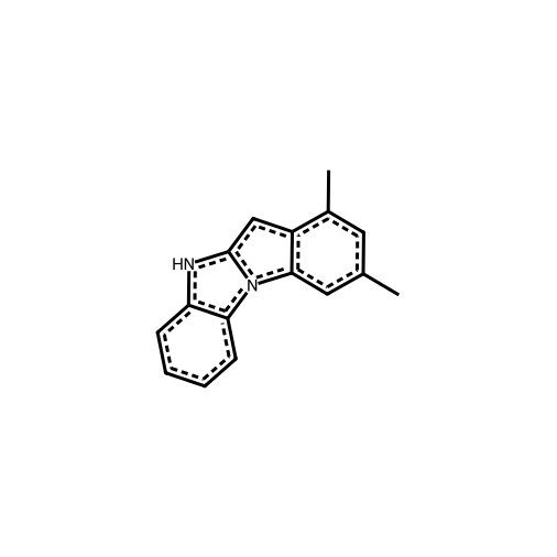 Cc1cc(C)c2cc3[nH]c4ccccc4n3c2c1